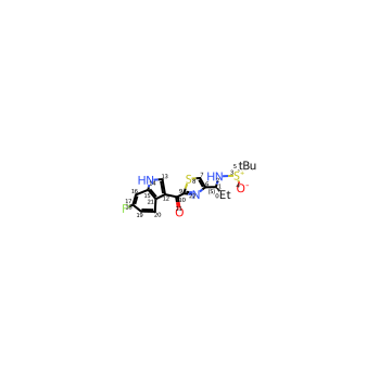 CC[C@H](N[S+]([O-])C(C)(C)C)c1csc(C(=O)c2c[nH]c3cc(F)ccc23)n1